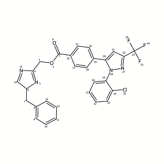 O=C(OCC1=NC(Cc2ccccc2)C=N1)c1ccc(-c2cc(C(F)(F)F)nn2-c2ccccc2Cl)cc1